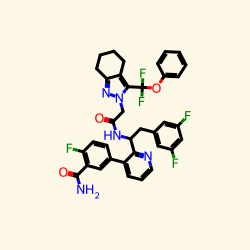 NC(=O)c1cc(-c2cccnc2C(Cc2cc(F)cc(F)c2)NC(=O)Cn2nc3c(c2C(F)(F)Oc2ccccc2)CCCC3)ccc1F